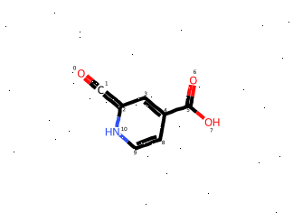 O=C=C1C=C(C(=O)O)C=CN1